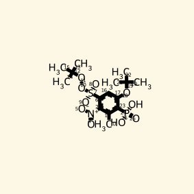 Cc1c([N+](=O)[O-])c(S(=O)(=O)OOC(C)(C)C)cc(OC(C)(C)C)c1P(=O)(O)O